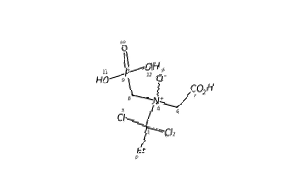 CCC(Cl)(Cl)[N+]([O-])(CC(=O)O)CP(=O)(O)O